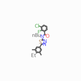 CCCCN(C(=O)c1cccc(Cl)c1F)c1nnc(-c2cc(C)c(CC)c(C)c2)s1